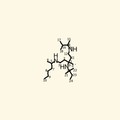 [CH2]C(CCNC(C)CCCC)(CCNC(C)C(C)C)NC(C)(C)CC